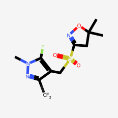 Cn1nc(C(F)(F)F)c(CS(=O)(=O)C2=NOC(C)(C)C2)c1F